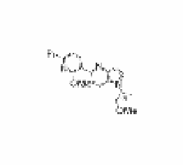 COC[C@H](C)n1ccc2nc(-c3ccc(C(C)C)nc3OC)c(C)cc21